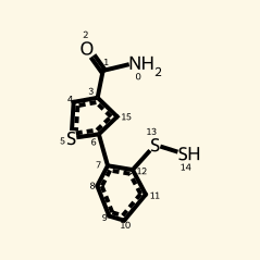 NC(=O)c1csc(-c2ccccc2SS)c1